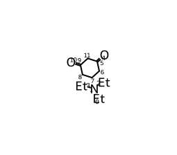 CCN(CC)CC.O=C1CCCC(=O)C1